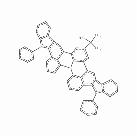 CC(C)(C)c1cc2c3c(c1)-c1cc4c5ccccc5n(-c5ccccc5)c4c4cccc(c14)B3c1cccc3c1c-2cc1c2ccccc2n(-c2ccccc2)c31